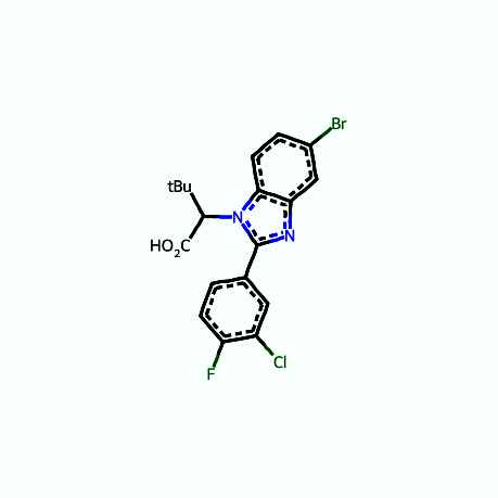 CC(C)(C)C(C(=O)O)n1c(-c2ccc(F)c(Cl)c2)nc2cc(Br)ccc21